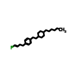 CCCCCCC1CCC(CCc2ccc(CCC=CF)cc2)CC1